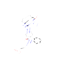 O=C1N(CCO)c2cc(Cl)ccc2C12CCN(c1nc3c(c(=O)[nH]1)CCCC3)CC2